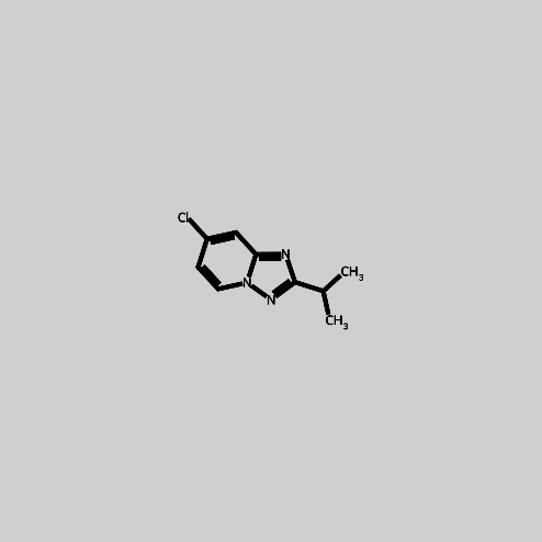 CC(C)c1nc2cc(Cl)ccn2n1